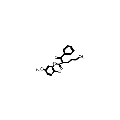 CCCCC(C(=O)Nc1cc(C)ccc1Cl)C(=O)c1ccccc1